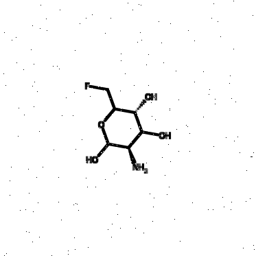 N[C@H]1C(O)OC(CF)[C@H](O)C1O